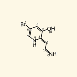 N=C/C=C1\NC=C(Br)C=C1O